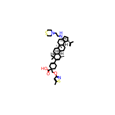 C=C(C)[C@@H]1CC[C@]2(NCCN3CCSCC3)CC[C@]3(C)[C@H](CC[C@@H]4[C@@H]5[C@@H](CC[C@]43C)C(C)(C)C(C3=CCC(COc4cc(C)sn4)(C(=O)O)CC3)=C[C@@H]5C)[C@@H]12